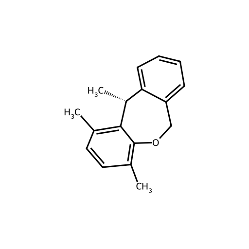 Cc1ccc(C)c2c1OCc1ccccc1[C@H]2C